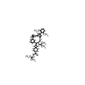 Cc1cccc(C)c1-c1cc2nc(n1)NS(=O)(=O)c1cccc(c1)C(C1CC3(CCN(C(=O)COC(C)C)CC3)C1)[C@H](CC(C)C)CO2